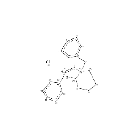 C=C[N+]1(Cc2ccccc2)CCCCC1Cc1ccccc1.[Cl-]